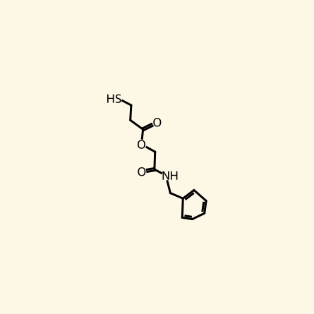 O=C(COC(=O)CCS)NCc1ccccc1